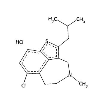 CC(C)Cc1sc2ccc(Cl)c3c2c1CN(C)CC3.Cl